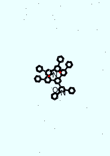 c1ccc(-c2ccc(-c3cc(-c4cc(-c5ccccc5)nc5c4oc4ccccc45)cc(-c4ccc(-c5ccccc5)cc4)c3-n3c4ccc(-c5ccccc5)cc4c4cc(-c5ccccc5)ccc43)cc2)cc1